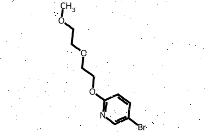 COCCOCCOc1ccc(Br)cn1